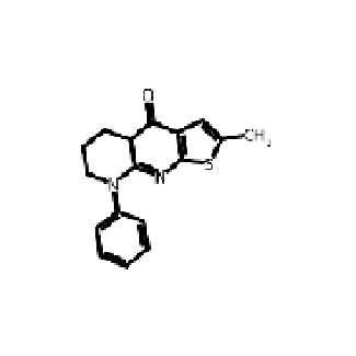 Cc1cc2c(s1)N=C1C(CCCN1c1ccccc1)C2=O